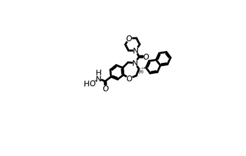 O=C(NO)c1ccc2c(c1)OC[C@@H](c1ccc3ccccc3c1)N(C(=O)N1CCOCC1)C2